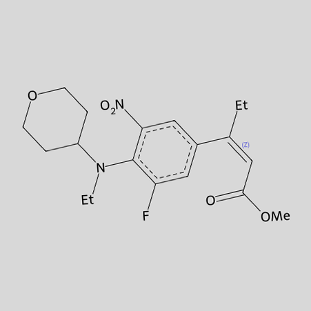 CC/C(=C/C(=O)OC)c1cc(F)c(N(CC)C2CCOCC2)c([N+](=O)[O-])c1